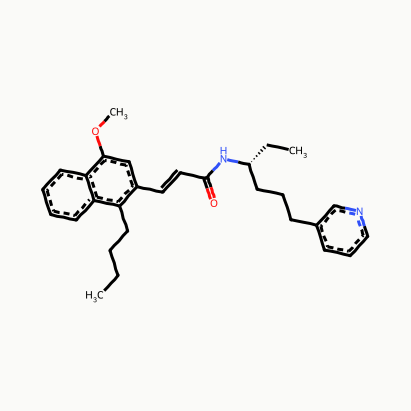 CCCCc1c(/C=C/C(=O)N[C@H](CC)CCCc2cccnc2)cc(OC)c2ccccc12